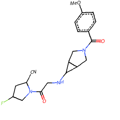 COc1ccc(C(=O)N2CC3C(C2)C3NCC(=O)N2CC(F)CC2C#N)cc1